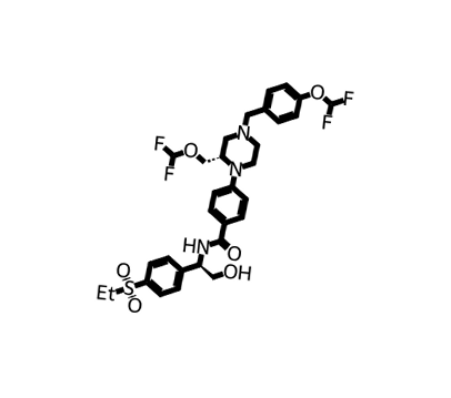 CCS(=O)(=O)c1ccc([C@H](CO)NC(=O)c2ccc(N3CCN(Cc4ccc(OC(F)F)cc4)C[C@H]3COC(F)F)cc2)cc1